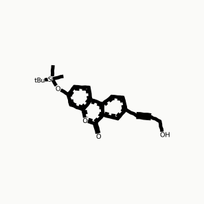 CC(C)(C)[Si](C)(C)Oc1ccc2c(c1)oc(=O)c1cc(C#CCO)ccc12